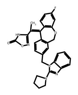 C/C(=C1/c2ccc(Cn3c(N4CCCC4)nc4ccccc43)cc2COc2cc(F)ccc21)c1noc(=O)[nH]1